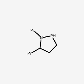 CC(C)C1CCPN1C(C)C